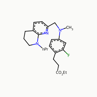 CCCN1CCCc2ccc(CN(C)c3ccc(CCC(=O)OCC)c(F)c3)nc21